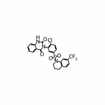 O=c1[nH]c2ccccc2c(=O)n1-c1cc(S(=O)(=O)N2CCCc3ccc(C(F)(F)F)cc32)ccc1Cl